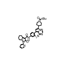 CC(C)(C)C(=O)N1CCC(c2cc(-c3ccc(NC(=O)c4c5n(n(-c6ccccn6)c4=O)CCCC5)cc3)c3c(N)ncnn23)CC1